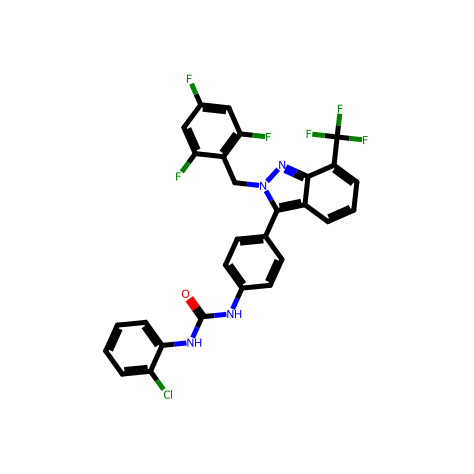 O=C(Nc1ccc(-c2c3cccc(C(F)(F)F)c3nn2Cc2c(F)cc(F)cc2F)cc1)Nc1ccccc1Cl